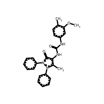 COc1cc(NC(=O)Nc2c(C)n(-c3ccccc3)n(-c3ccccc3)c2=O)ccc1C